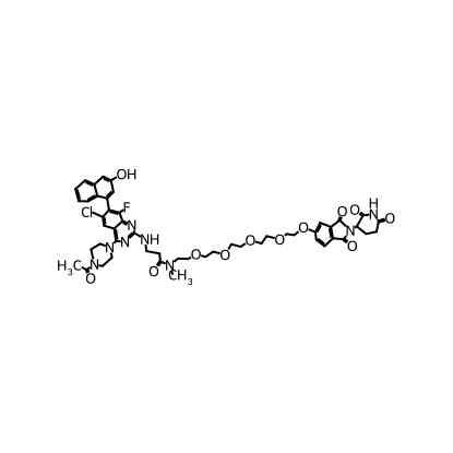 CC(=O)N1CCN(c2nc(NCCC(=O)N(C)CCOCCOCCOCCOCCOc3ccc4c(c3)C(=O)N(C3CCC(=O)NC3=O)C4=O)nc3c(F)c(-c4cc(O)cc5ccccc45)c(Cl)cc23)CC1